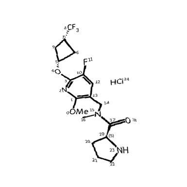 COc1nc(O[C@H]2C[C@@H](C(F)(F)F)C2)c(F)cc1CN(C)C(=O)[C@@H]1CCCN1.Cl